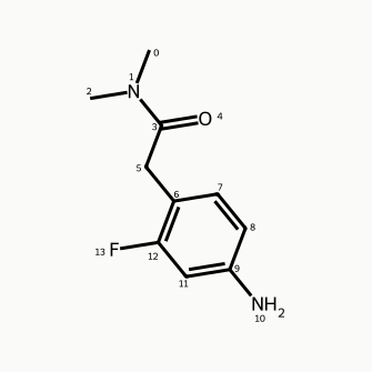 CN(C)C(=O)Cc1ccc(N)cc1F